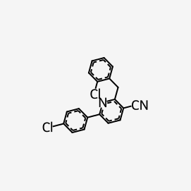 N#Cc1ccc(-c2ccc(Cl)cc2)nc1Cc1ccccc1Cl